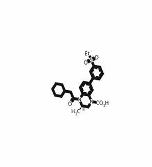 CCS(=O)(=O)c1cccc(-c2ccc3c(c2)N(C(=O)O)C[C@H](C)N3C(=O)CC2CCCCC2)c1